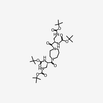 CC(C)(C)OC(=O)NC[C@@H](NC(=O)OC(C)(C)C)C(=O)N1CCCN(C(=O)[C@@H](CNC(=O)OC(C)(C)C)NC(=O)OC(C)(C)C)CC1